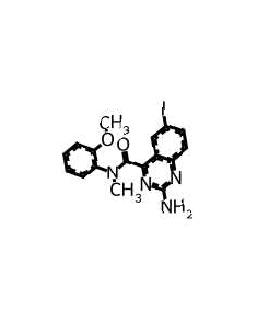 COc1ccccc1N(C)C(=O)c1nc(N)nc2ccc(I)cc12